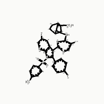 Cc1ccc(S(=O)(=O)n2c(-c3ccc(F)cc3)c(-c3ncc(F)c(NC4C5CCC(CC5)C4C(=O)O)n3)c3cc(F)cnc32)cc1